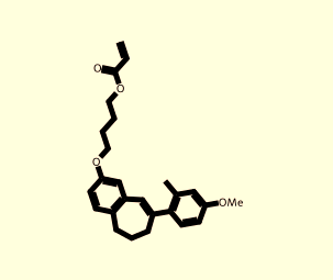 C=CC(=O)OCCCCOc1ccc2c(c1)C=C(c1ccc(OC)cc1C)CCC2